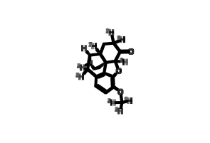 [2H]C([2H])([2H])Oc1ccc2c3c1OC1([2H])C(=O)C([2H])([2H])C[C@@]4([2H])[C@H](N(C)CC[C@]314)C2([2H])[2H]